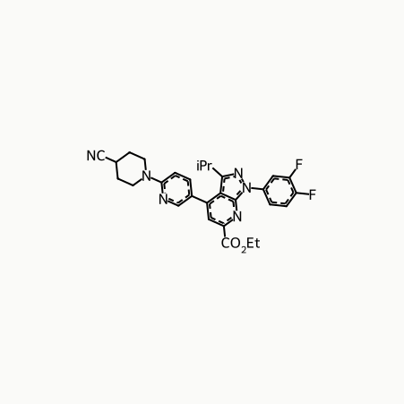 CCOC(=O)c1cc(-c2ccc(N3CCC(C#N)CC3)nc2)c2c(C(C)C)nn(-c3ccc(F)c(F)c3)c2n1